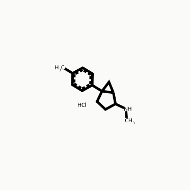 CNC1CCC2(c3ccc(C)cc3)CC12.Cl